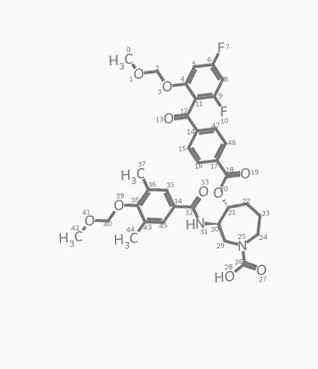 COCOc1cc(F)cc(F)c1C(=O)c1ccc(C(=O)O[C@@H]2CCCN(C(=O)O)C[C@H]2NC(=O)c2cc(C)c(OCOC)c(C)c2)cc1